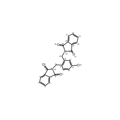 O=C1c2ccccc2C(=O)N1Cc1ccc(Cl)cc1CN1C(=O)c2ccccc2C1=O